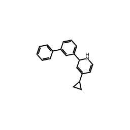 C1=CC(C2CC2)=CC(c2cccc(-c3ccccc3)c2)N1